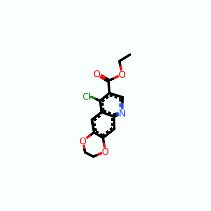 CCOC(=O)c1cnc2cc3c(cc2c1Cl)OCCO3